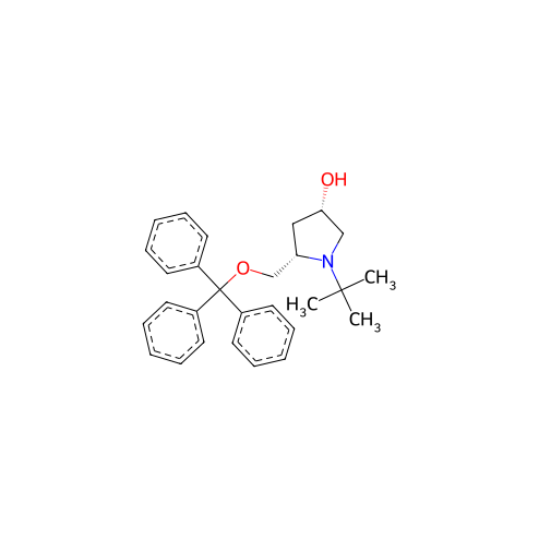 CC(C)(C)N1C[C@@H](O)C[C@H]1COC(c1ccccc1)(c1ccccc1)c1ccccc1